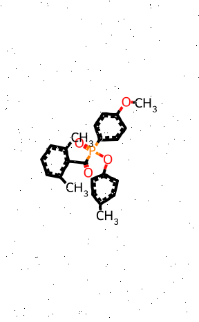 COc1ccc(P(=O)(Oc2ccc(C)cc2)C(=O)c2c(C)cccc2C)cc1